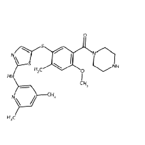 COc1cc(C)c(Sc2cnc(Nc3cc(C)cc(C)n3)s2)cc1C(=O)N1CCNCC1